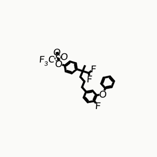 CC(CCCc1ccc(F)c(Oc2ccccc2)c1)(c1ccc(OS(=O)(=O)C(F)(F)F)cc1)C(F)F